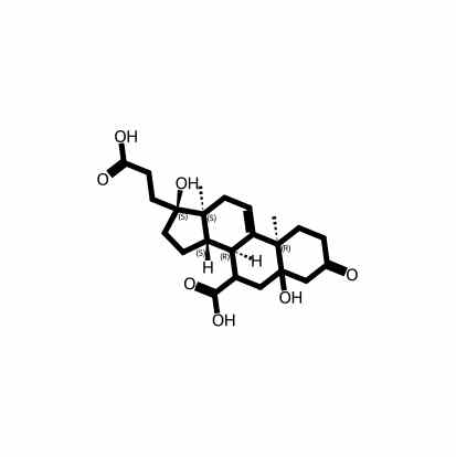 C[C@]12CC=C3[C@@H](C(C(=O)O)CC4(O)CC(=O)CC[C@]34C)[C@@H]1CC[C@]2(O)CCC(=O)O